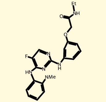 CCNC(=O)COc1cccc(Nc2ncc(F)c(Nc3ccccc3NC)n2)c1